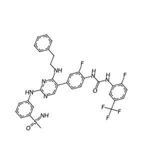 CS(=N)(=O)c1cccc(Nc2ncc(-c3ccc(NC(=O)Nc4cc(C(F)(F)F)ccc4F)c(F)c3)c(NCCc3ccccc3)n2)c1